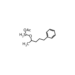 CC(=O)O[SiH2]OC(C)CCCc1ccccc1